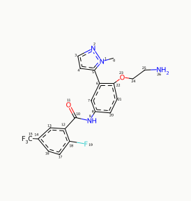 Cn1nccc1-c1cc(NC(=O)c2cc(C(F)(F)F)ccc2F)ccc1OCCN